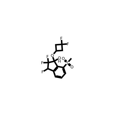 CS(=O)(=O)c1cccc2c1C(O)(OC1CC(F)(F)C1)C(F)(F)C2F